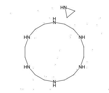 C1CN1.C1CNCCNCCNCCNCCNCCN1